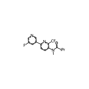 CC(C)C(=O)N(C)c1ccc(-c2cncc(F)c2)nc1C(F)(F)F